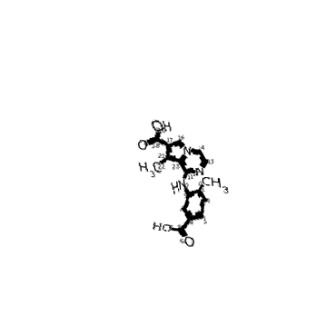 Cc1ccc(C(=O)O)cc1Nc1nccn2cc(C(=O)O)c(C)c12